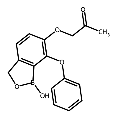 CC(=O)COc1ccc2c(c1Oc1ccccc1)B(O)OC2